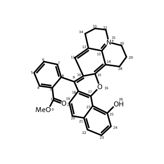 COC(=O)c1ccccc1C1=c2cc3c4c(c2Oc2c1ccc1cccc(O)c21)CCC[N+]=4CCC3